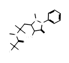 CN1C(CC(C)(C)N(C)C(=O)C(F)(F)F)C(N)C(=O)N1c1ccccc1